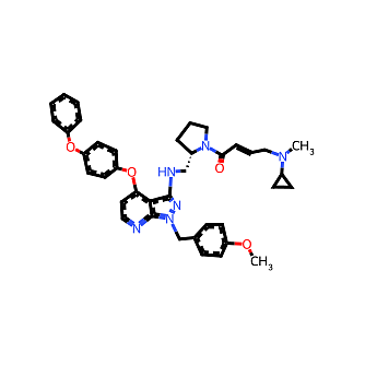 COc1ccc(Cn2nc(NC[C@@H]3CCCN3C(=O)C=CCN(C)C3CC3)c3c(Oc4ccc(Oc5ccccc5)cc4)ccnc32)cc1